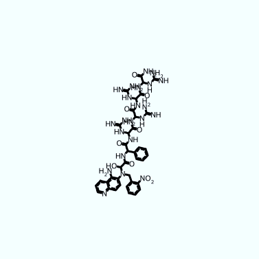 N=C(N)NC(NC(=O)C(NC(=N)N)NC(=O)C(NC(=N)N)NC(=O)C(NC(=N)N)NC(=O)C(NC(=O)C(O)N(Cc1ccccc1[N+](=O)[O-])c1ccc2ncccc2c1N)c1ccccc1)C(N)=O